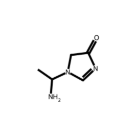 CC(N)N1C=NC(=O)C1